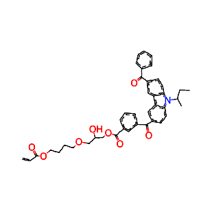 C=CC(=O)OCCCCOCC(O)COC(=O)c1cccc(C(=O)c2ccc3c(c2)c2cc(C(=O)c4ccccc4)ccc2n3C(C)CC)c1